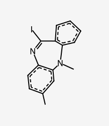 Cc1ccc2c(c1)N(C)c1ccccc1C(I)=N2